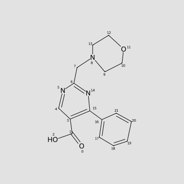 O=C(O)c1cnc(CN2CCOCC2)nc1-c1ccccc1